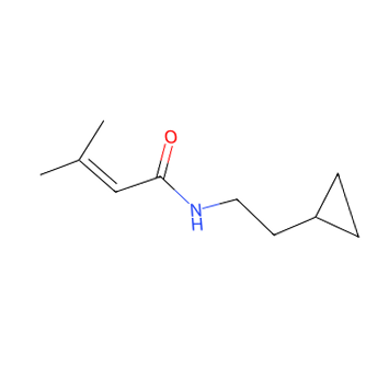 CC(C)=CC(=O)NCCC1CC1